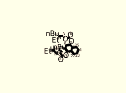 CCCCC(CC)COC(=O)Oc1cc(C)c(OC(=O)OCC(CC)CCCC)c2ccccc12